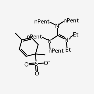 CC1=CCC(C)(S(=O)(=O)[O-])C=C1.CCCCCN(CCCCC)C(N(CCCCC)CCCCC)=[N+](CC)CC